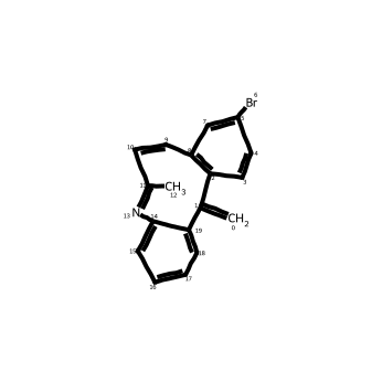 C=C1c2ccc(Br)cc2/C=C\C(C)=N\c2ccccc21